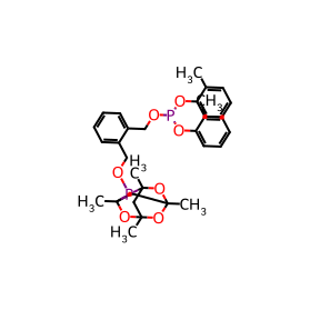 Cc1ccccc1OP(OCc1ccccc1COP1C2(C)CC3(C)OC(C)(CC1(C)O3)O2)Oc1ccccc1C